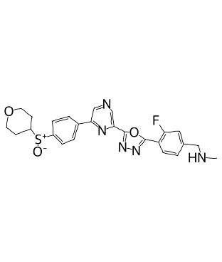 CNCc1ccc(-c2nnc(-c3cncc(-c4ccc([S+]([O-])C5CCOCC5)cc4)n3)o2)c(F)c1